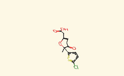 CC1(c2ccc(Cl)s2)OC(C(=O)O)CC1=O